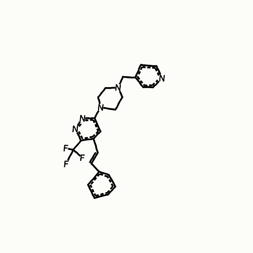 FC(F)(F)c1nnc(N2CCN(Cc3ccncc3)CC2)cc1/C=C/c1ccccc1